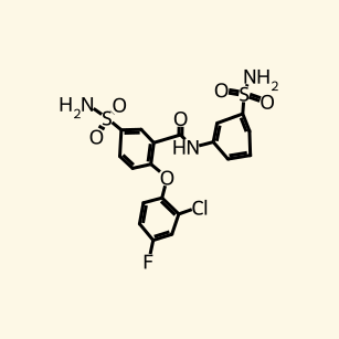 NS(=O)(=O)c1cccc(NC(=O)c2cc(S(N)(=O)=O)ccc2Oc2ccc(F)cc2Cl)c1